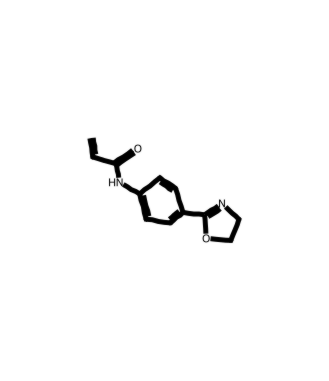 C=CC(=O)Nc1ccc(C2=NCCO2)cc1